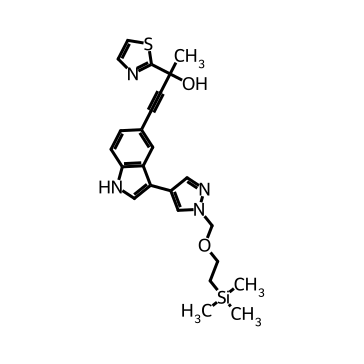 CC(O)(C#Cc1ccc2[nH]cc(-c3cnn(COCC[Si](C)(C)C)c3)c2c1)c1nccs1